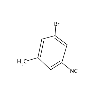 [C-]#[N+]c1cc(C)cc(Br)c1